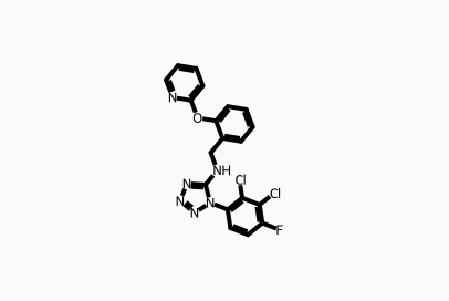 Fc1ccc(-n2nnnc2NCc2ccccc2Oc2ccccn2)c(Cl)c1Cl